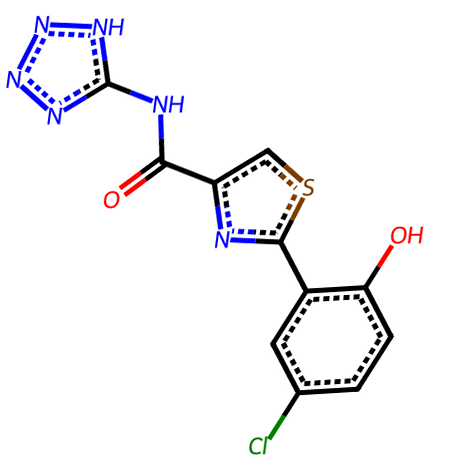 O=C(Nc1nnn[nH]1)c1csc(-c2cc(Cl)ccc2O)n1